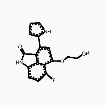 O=C1Nc2ccc(F)c3c(OCCO)cc(-c4ccc[nH]4)c1c23